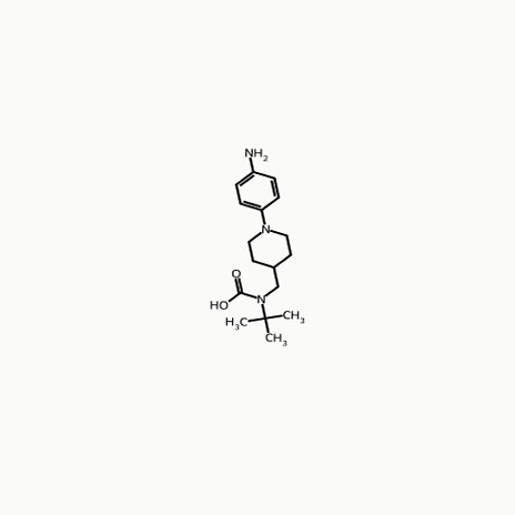 CC(C)(C)N(CC1CCN(c2ccc(N)cc2)CC1)C(=O)O